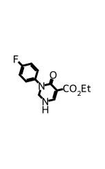 CCOC(=O)C1=CNCN(c2ccc(F)cc2)C1=O